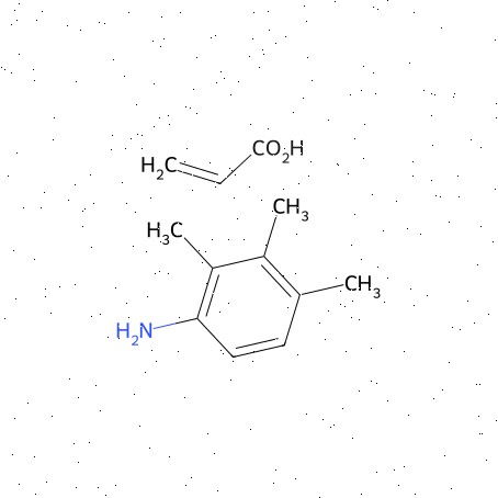 C=CC(=O)O.Cc1ccc(N)c(C)c1C